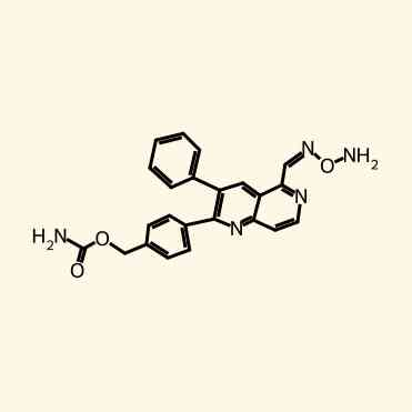 NO/N=C\c1nccc2nc(-c3ccc(COC(N)=O)cc3)c(-c3ccccc3)cc12